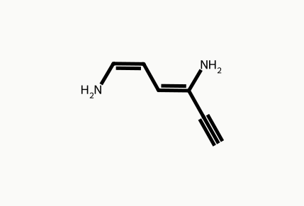 C#C/C(N)=C/C=C\N